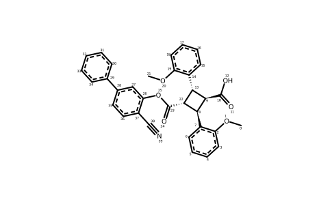 COc1ccccc1[C@@H]1[C@H](C(=O)O)[C@@H](c2ccccc2OC)[C@H]1C(=O)Oc1cc(-c2ccccc2)ccc1C#N